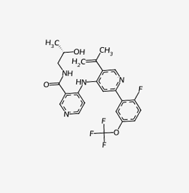 C=C(C)c1cnc(-c2cc(OC(F)(F)F)ccc2F)cc1Nc1ccncc1C(=O)NC[C@H](C)O